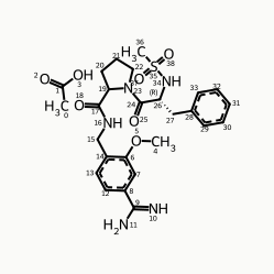 CC(=O)O.COc1cc(C(=N)N)ccc1CNC(=O)C1CCCN1C(=O)[C@@H](Cc1ccccc1)NS(C)(=O)=O